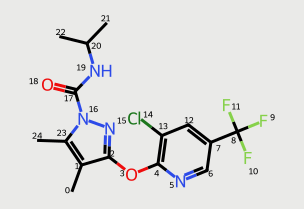 Cc1c(Oc2ncc(C(F)(F)F)cc2Cl)nn(C(=O)NC(C)C)c1C